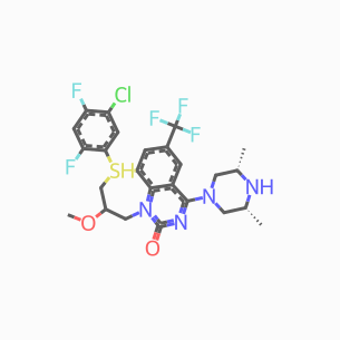 COC1Cn2c(=O)nc(N3C[C@@H](C)N[C@@H](C)C3)c3cc(C(F)(F)F)cc(c32)[SH](c2cc(Cl)c(F)cc2F)C1